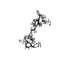 CC12CC=CC(C#N)=C1OP(=O)(COCCn1cnc3c(=O)[nH]c(N)nc31)OC2